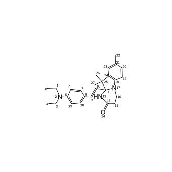 CCN(CC)c1ccc(/C=C/C23NC(=O)CCN2c2ccc(C)cc2C3(C)C)cc1